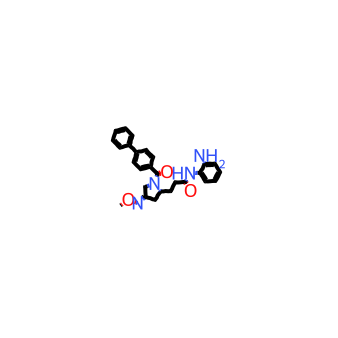 CON=C1CC(CCC(=O)Nc2ccccc2N)N(C(=O)c2ccc(-c3ccccc3)cc2)C1